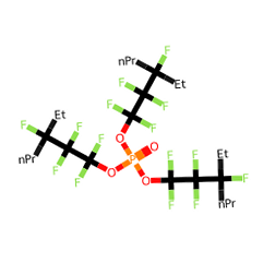 CCCC(F)(CC)C(F)(F)C(F)(F)OP(=O)(OC(F)(F)C(F)(F)C(F)(CC)CCC)OC(F)(F)C(F)(F)C(F)(CC)CCC